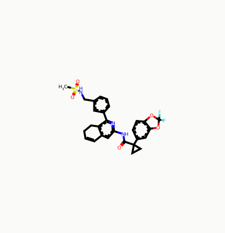 CS(=O)(=O)NCc1cccc(-c2nc(NC(=O)C3(c4ccc5c(c4)OC(F)(F)O5)CC3)cc3c2CCC=C3)c1